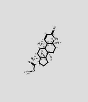 COC(=O)[C@H]1CC[C@H]2[C@@H]3CC[C@H]4NC(=O)C=C[C@]4(C)C3CC[C@]12C